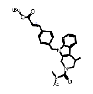 CC(=O)N(C)C(=O)N1Cc2c(c3ccccc3n2Cc2ccc(/C=C/C(=O)OC(C)(C)C)cc2)C(C)C1